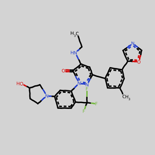 CCNc1cc(-c2cc(C)cc(-c3cnco3)c2)nn(-c2cc(N3CCC(O)C3)ccc2C(F)(F)F)c1=O